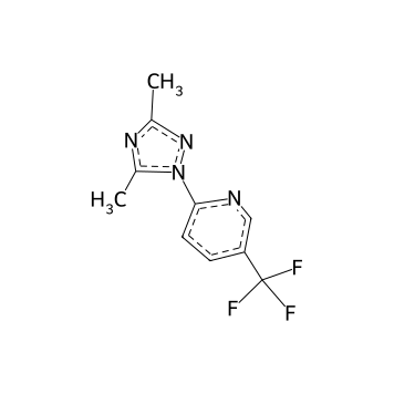 Cc1nc(C)n(-c2ccc(C(F)(F)F)cn2)n1